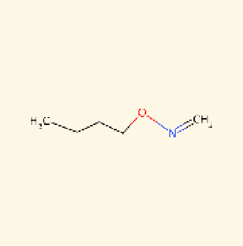 C=NOCCCC